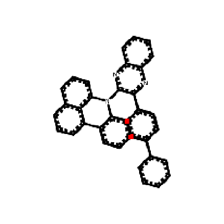 c1ccc(-c2ccc(-c3nc4ccccc4nc3N3c4ccccc4-c4cccc5cccc3c45)cc2)cc1